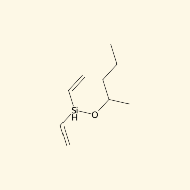 C=C[SiH](C=C)OC(C)CCC